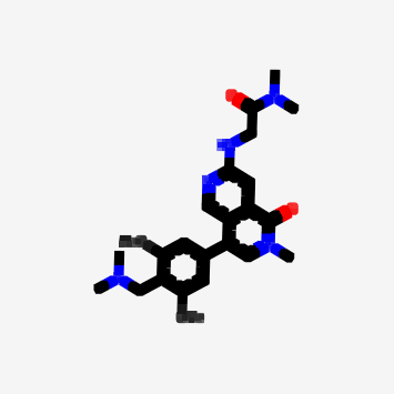 COc1cc(-c2cn(C)c(=O)c3cc(NCC(=O)N(C)C)ncc23)cc(OC)c1CN(C)C